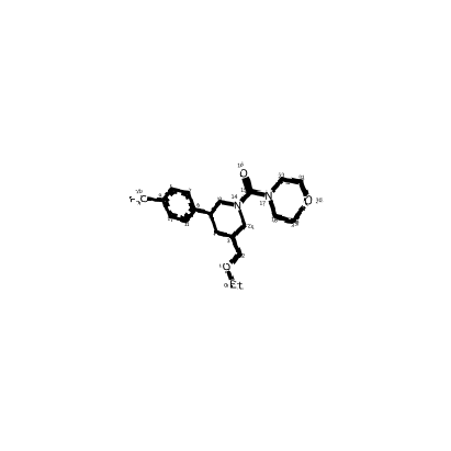 CCOCC1CC(c2ccc(C(F)(F)F)cc2)CN(C(=O)N2CCOCC2)C1